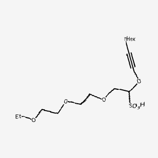 CCCCCCC#COC(COCCOCCOCC)S(=O)(=O)O